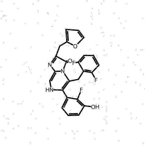 O=c1c(Cc2ccco2)nc2c[nH]c(-c3cccc(O)c3F)c(Cc3c(F)cccc3F)n1-2